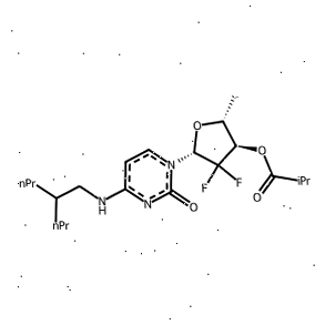 [CH2][C@H]1O[C@@H](n2ccc(NCC(CCC)CCC)nc2=O)C(F)(F)[C@@H]1OC(=O)C(C)C